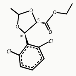 CCOC(=O)[C@H]1OC(C)O[C@@H]1c1c(Cl)cccc1Cl